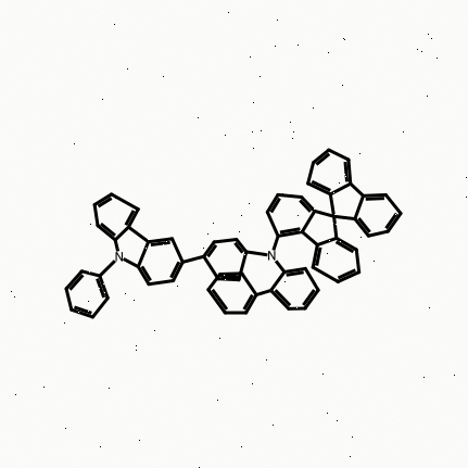 c1ccc(-c2ccccc2N(c2ccc(-c3ccc4c(c3)c3ccccc3n4-c3ccccc3)cc2)c2cccc3c2-c2ccccc2C32c3ccccc3-c3ccccc32)cc1